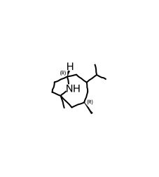 CC(C)C1C[C@@H](C)CC2(C)CC[C@H](C1)N2